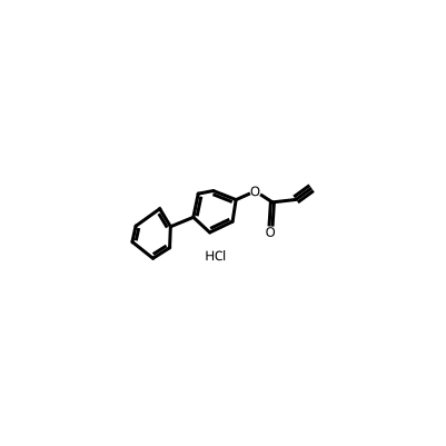 C#CC(=O)Oc1ccc(-c2ccccc2)cc1.Cl